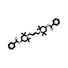 CC1(C)CC(OC(=O)c2ccccc2)CC(C)(C)N1C/C=C/CN1C(C)(C)CC(OC(=O)c2ccccc2)CC1(C)C